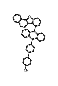 N#Cc1ccc(-c2ccc(-c3c4ccccc4c(-c4cccc5oc6c7ccccc7ccc6c45)c4ccccc34)cc2)cc1